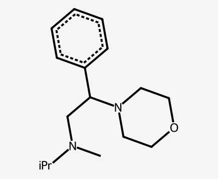 CC(C)N(C)CC(c1ccccc1)N1CCOCC1